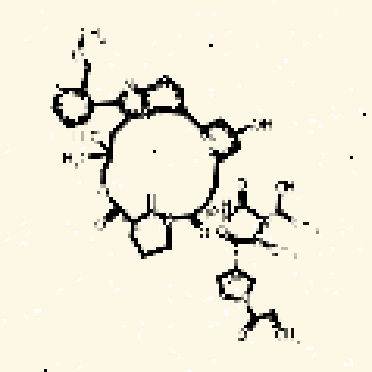 C=CC(=O)N1CC[C@H](C(=O)N(C)[C@H](C(=O)N[C@H]2Cc3cc(O)cc(c3)-c3ccc4nc(-c5cccnc5COC)c(n4c3)CC(C)(C)COC(=O)[C@@H]3CCCN(N3)C2=O)C(C)C)C1